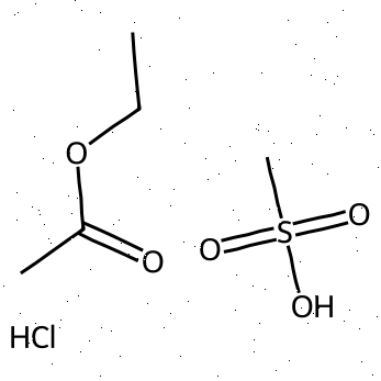 CCOC(C)=O.CS(=O)(=O)O.Cl